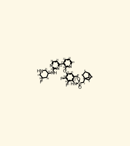 O=S(=O)(CC12CCC(CC1)C2)Nc1c(F)cc(Oc2ncccc2-c2ccnc(NC3CNC[C@@H](F)C3)n2)c(F)c1F